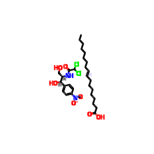 CCCCCCCC/C=C/CCCCCCCC(=O)O.O=C(N[C@H](CO)[C@H](O)c1ccc([N+](=O)[O-])cc1)C(Cl)Cl